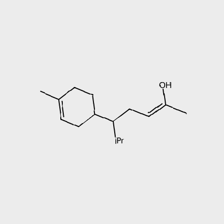 CC(O)=CCC(C(C)C)C1CC=C(C)CC1